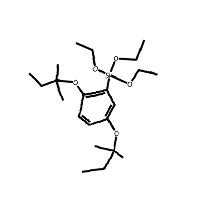 CCO[Si](OCC)(OCC)c1cc(OC(C)(C)CC)ccc1OC(C)(C)CC